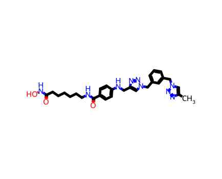 Cc1cn(Cc2cccc(Cn3cc(CNc4ccc(C(=O)NCCCCCCC(=O)NO)cc4)nn3)c2)nn1